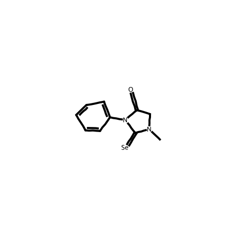 CN1CC(=O)N(c2ccccc2)C1=[Se]